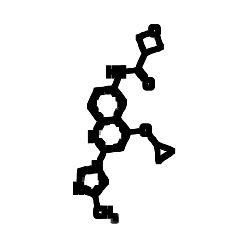 Cc1cn(-c2cc(OC3CC3)c3cc(NC(=O)C4COC4)ccc3n2)cn1